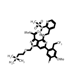 CNC(=O)c1nn(COCC[Si](C)(C)C)c2cc(-c3cc(F)c(OC)cc3CC(F)(F)F)nc(NCc3cccnc3N(C)S(C)(=O)=O)c12